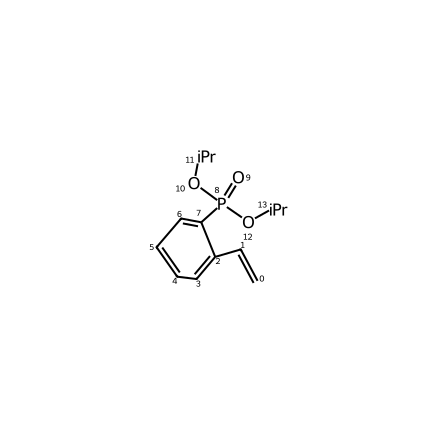 C=Cc1ccccc1P(=O)(OC(C)C)OC(C)C